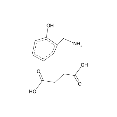 NCc1ccccc1O.O=C(O)CCC(=O)O